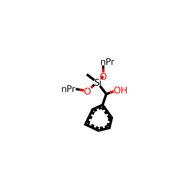 CCCO[Si](C)(OCCC)C(O)c1ccccc1